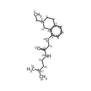 CCN1CCc2cccc(OCC(=O)NCCN(C)C)c2C1